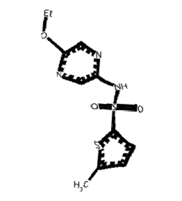 CCOc1cnc(NS(=O)(=O)c2ccc(C)s2)cn1